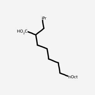 CCCCCCCCCCCCCC(CC(C)C)C(=O)O